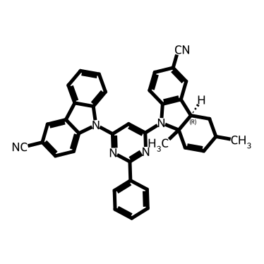 CC1C=CC2(C)[C@H](C1)c1cc(C#N)ccc1N2c1cc(-n2c3ccccc3c3cc(C#N)ccc32)nc(-c2ccccc2)n1